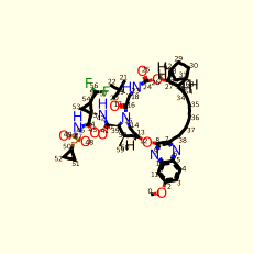 COc1ccc2nc3c(nc2c1)O[C@H]1CN(C(=O)[C@H](C(C)(C)C)NC(=O)O[C@@H]2[C@H]4CC[C@H](C4)[C@H]2CCCCC3)[C@H](C(=O)N[C@]2(C(=O)NS(=O)(=O)C3CC3)CC2C(F)F)[C@@H]1C